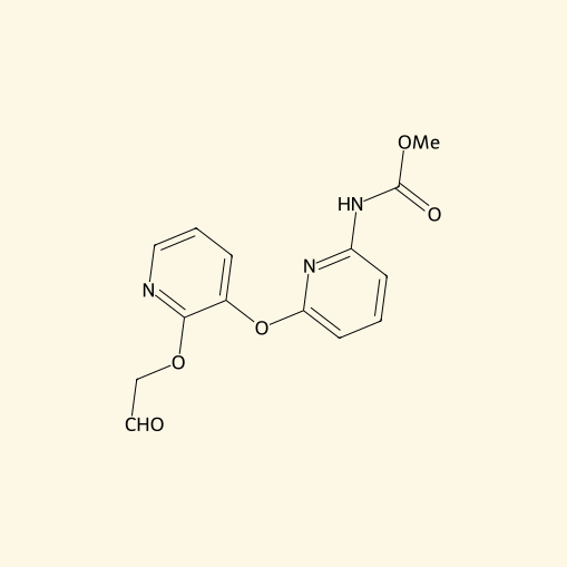 COC(=O)Nc1cccc(Oc2cccnc2OCC=O)n1